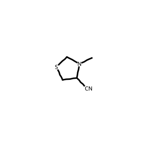 CN1CSCC1C#N